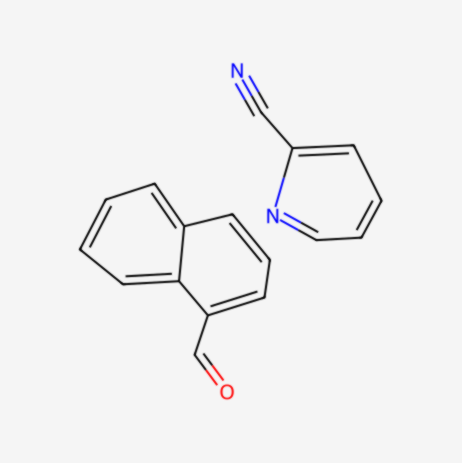 N#Cc1ccccn1.O=Cc1cccc2ccccc12